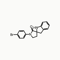 O=C1N(c2ccc(Br)cc2)CCC12Cc1ccccc1N2